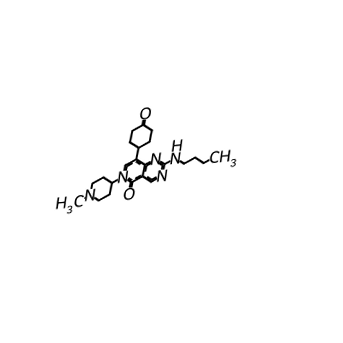 CCCCNc1ncc2c(=O)n(C3CCN(C)CC3)cc(C3CCC(=O)CC3)c2n1